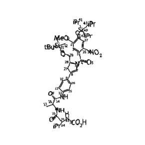 COc1cc(C(=O)N2C=C(c3ccc(NC(=O)C(C)NC(=O)C(NC(=O)O)C(C)C)cc3)CC2CO[Si](C)(C)C(C)(C)C)c([N+](=O)[O-])cc1O[Si](C(C)C)(C(C)C)C(C)C